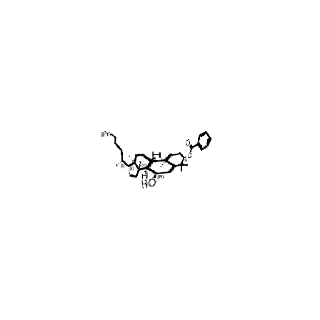 CC(C)CCC[C@@H](C)[C@H]1CC[C@@]2(C)[C@@H]3[C@H](O)CC4C(C)(C)[C@@H](OC(=O)c5ccccc5)CC[C@]4(C)[C@H]3CC[C@]12C